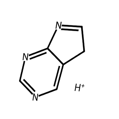 C1=Nc2ncncc2C1.[H+]